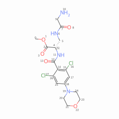 COC(=O)[C@H](CNC(=O)CN)NC(=O)c1c(Cl)cc(N2CCOCC2)cc1Cl